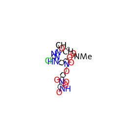 CNC(=O)COc1cc2cc(Nc3nc(N4CC(C)OC(C)C4)ncc3Cl)ccc2n(CCOc2ccc3c(c2)C(=O)N(C2CCC(=O)NC2=O)C3=O)c1=O